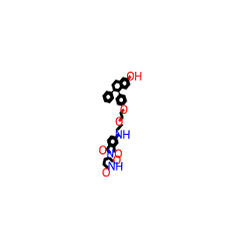 O=C1CCC(N2C(=O)c3ccc(NCCOCCOc4ccc([C@@H]5c6ccc(O)cc6CC[C@@H]5c5ccccc5)cc4)cc3C2=O)C(=O)N1